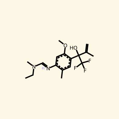 C=C(C)C(O)(c1cc(C)c(/N=C/N(C)CC)cc1OC)C(F)(F)F